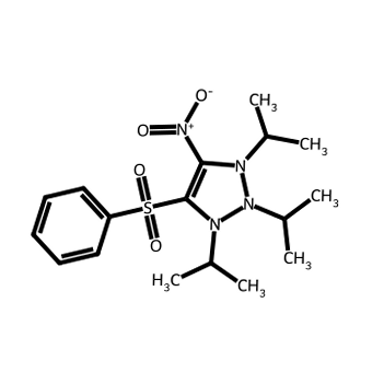 CC(C)N1C([N+](=O)[O-])=C(S(=O)(=O)c2ccccc2)N(C(C)C)N1C(C)C